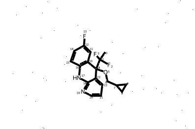 CC(F)(F)C1(OCC2CC2)c2cc(F)ccc2Nc2ncccc21